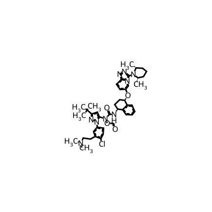 C[C@@H]1CCC[C@H](C)N1c1nnc2ccc(O[C@@H]3CC[C@H](NC(=O)N(OC=O)c4cc(C(C)(C)C)nn4-c4ccc(Cl)c(CCN(C)C)c4)c4ccccc43)cn12